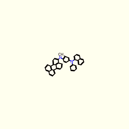 CN(c1ccc(N(c2ccccc2)c2cccc3ccccc23)cc1)c1ccc2c3cccc4cccc(c5cccc1c52)c43